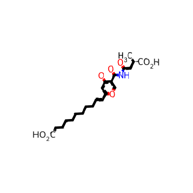 C[C@@H](CC(=O)NC(=O)c1coc(/C=C/CCCCCCCCC(=O)O)cc1=O)C(=O)O